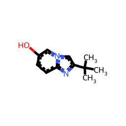 CC(C)(C)c1cn2cc(O)ccc2n1